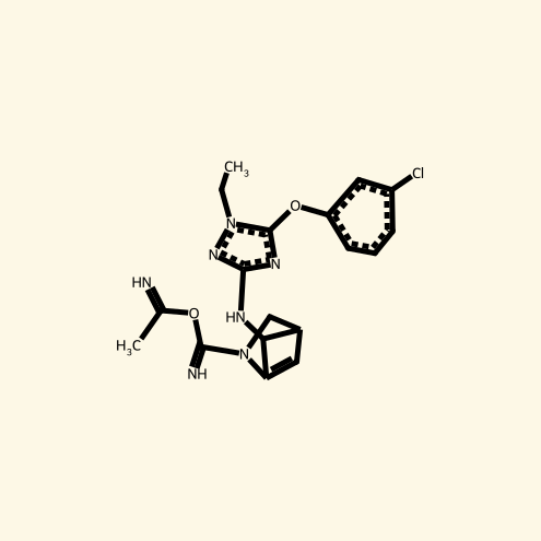 CCn1nc(NC2C3=CC2CN3C(=N)OC(C)=N)nc1Oc1cccc(Cl)c1